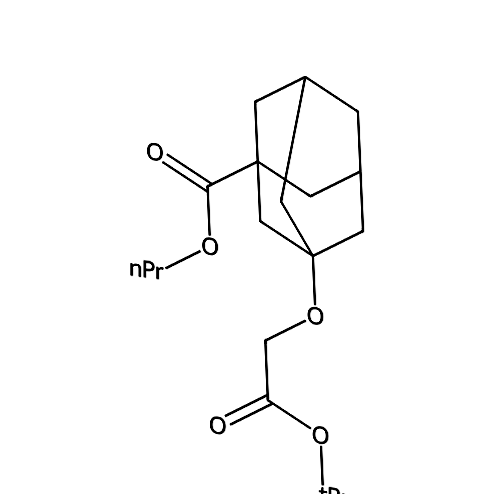 CCCOC(=O)C12CC3CC(CC(OCC(=O)OC(C)(C)C)(C3)C1)C2